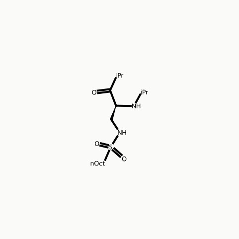 CCCCCCCCS(=O)(=O)NC[C@H](NC(C)C)C(=O)C(C)C